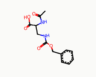 CC(=O)NC(CNC(=O)OCc1ccccc1)C(=O)O